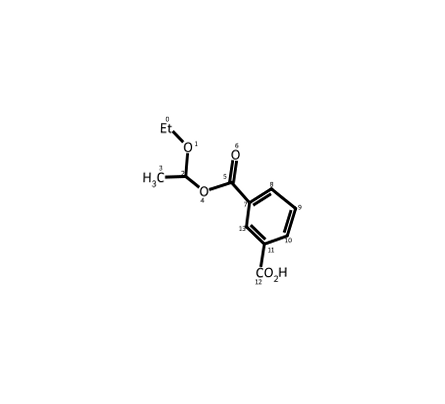 CCOC(C)OC(=O)c1cccc(C(=O)O)c1